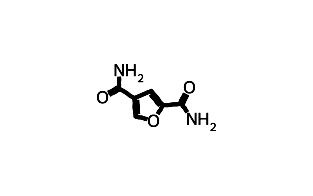 NC(=O)c1coc(C(N)=O)c1